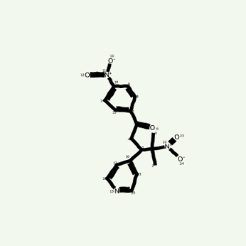 CC(C)(C(CC(=O)c1ccc([N+](=O)[O-])cc1)c1ccncc1)[N+](=O)[O-]